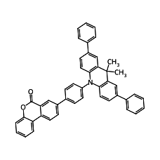 CC1(C)c2cc(-c3ccccc3)ccc2N(c2ccc(-c3ccc4c(c3)c(=O)oc3ccccc34)cc2)c2ccc(-c3ccccc3)cc21